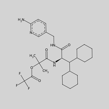 CC(C)(OC(=O)C(F)(F)F)C(=O)N[C@@H](C(=O)NCc1ccc(N)nc1)C(C1CCCCC1)C1CCCCC1